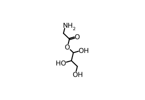 NCC(=O)OC(O)C(O)CO